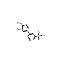 NS(=O)(=O)c1cncc(-c2ccc(C(F)(F)F)c(Cl)c2)c1